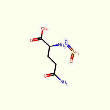 N=[SH2]=O.NC(=O)CC[C@H](N)C(=O)O